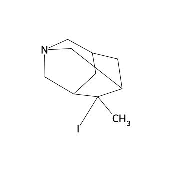 CC1(I)C2CC3CC1CN(C3)C2